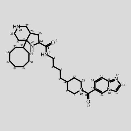 O=C(NCCCCC1CCN(C(=O)c2ccc3nccn3c2)CC1)C1CC2CNCCC2(C2CCCCCCC2)N1